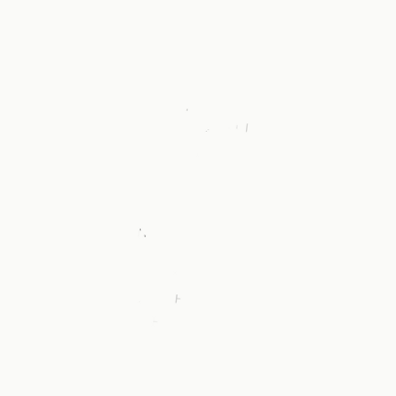 O=C(O)c1ccc(C=Nc2cccc(F)c2C(F)(F)F)cc1